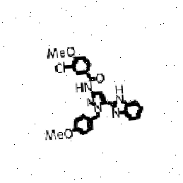 COc1ccc(Cn2nc(NC(=O)c3ccc(OC)c(Cl)c3)cc2-c2nc3ccccc3[nH]2)cc1